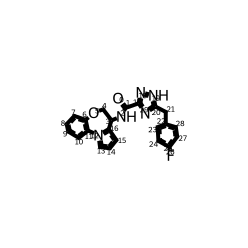 O=C(NC1COc2ccccc2-n2cccc21)c1n[nH]c(Cc2ccc(F)cc2)n1